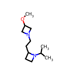 COC1CN(CCC2CCN2C(C)C)C1